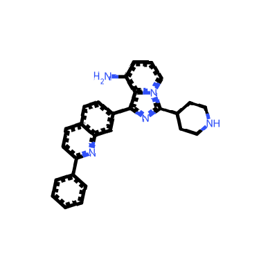 Nc1cccn2c(C3CCNCC3)nc(-c3ccc4ccc(-c5ccccc5)nc4c3)c12